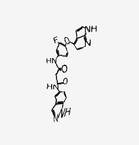 O=C(CC(=O)Nc1ccc2[nH]ncc2c1)Nc1ccc(Oc2ccnc3[nH]ccc23)c(F)c1